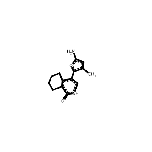 Cc1cc(N)oc1-c1c[nH]c(=O)c2c1CCCC2